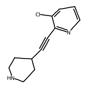 Clc1cccnc1C#CC1CCNCC1